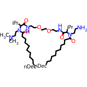 CCCCCCCCCCCCCCCCCCCC(=O)N(CCN)C(C(=O)NCCOCCOCCNC(=O)C(C(C)C)N(CCN(C)C)C(=O)CCCCCCCCCCCCCCCCCCC)C(C)C